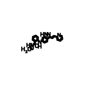 CONC(=O)c1ccccc1Nc1ccc2c(C=Cc3ccccn3)n[nH]c2c1